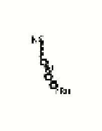 CCCCc1ccc([C@H]2CC[C@H](OC(=O)[C@H]3CC[C@H](CCC=CC=CC#N)CC3)CC2)cc1